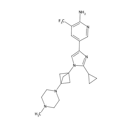 CN1CCN(C23CC(n4cc(-c5cnc(N)c(C(F)(F)F)c5)nc4C4CC4)(C2)C3)CC1